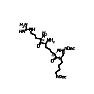 CCCCCCCCCCCCCCN(CCCCCCCCCCCC)C(=O)[C@@H](N)CCCC(N)C(=O)[C@@H](N)CCCNC(=N)N